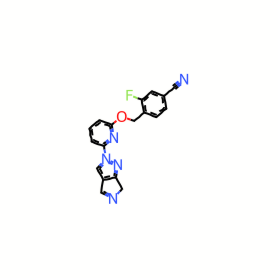 N#Cc1ccc(COc2cccc(-n3cc4c(n3)CN=C4)n2)c(F)c1